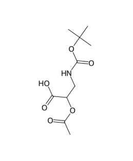 CC(=O)OC(CNC(=O)OC(C)(C)C)C(=O)O